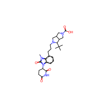 Cn1c(=O)n(C2CCC(=O)NC2=O)c2cccc(CCCN3CC4CN(C(=O)O)CC4C3C(C)(C)C)c21